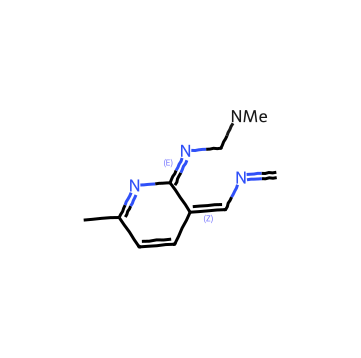 C=N/C=C1/C=CC(C)=N/C1=N/CNC